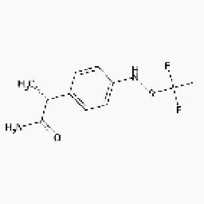 C[C@@H](C(N)=O)c1ccc(NSC(F)(F)F)cc1